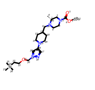 C[C@@H]1CN(C(=O)OC(C)(C)C)CCN1CC1CCN(c2cnn(COCC[Si](C)(C)C)c2)CC1